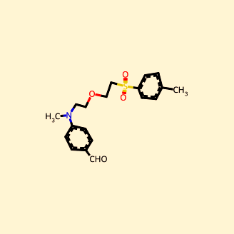 Cc1ccc(S(=O)(=O)CCOCCN(C)c2ccc(C=O)cc2)cc1